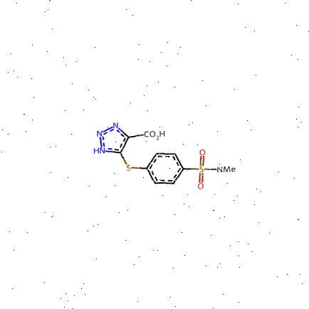 CNS(=O)(=O)c1ccc(Sc2[nH]nnc2C(=O)O)cc1